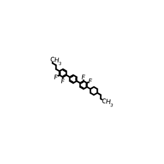 CCCCc1ccc(-c2ccc(-c3ccc(C4CCC(CCC)CC4)c(F)c3F)cc2)c(F)c1F